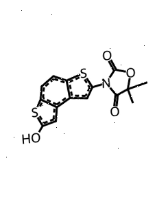 CC1(C)OC(=O)N(c2cc3c(ccc4sc(O)cc43)s2)C1=O